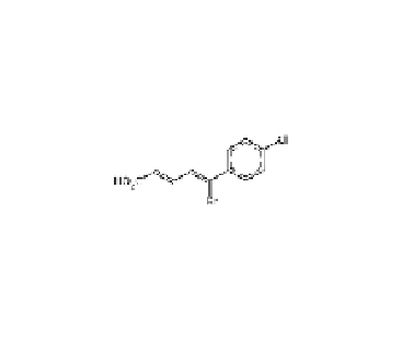 O=C(O)C=CC=C(Br)c1ccc(Cl)cc1